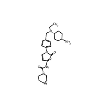 CCN(Cc1ccc(-n2ccc(NC(=O)N3CCNCC3)nc2=O)cc1)[C@H]1CC[C@H](N)CC1